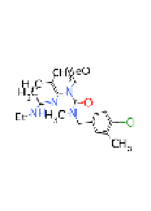 CCN/C(C)=N/C(=C(C)C)N(COC)C(=O)N(C)Cc1ccc(Cl)c(C)c1